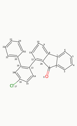 O=C1c2ccccc2-c2cccc(-c3ccc(Cl)cc3-c3ccccc3)c21